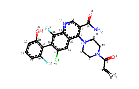 C=CC(=O)N1CCN(c2c(C(N)=O)cnc3c(F)c(-c4c(O)cccc4F)c(Cl)cc23)CC1